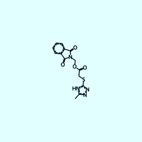 Cc1nnc(SCC(=O)OCN2C(=O)c3ccccc3C2=O)[nH]1